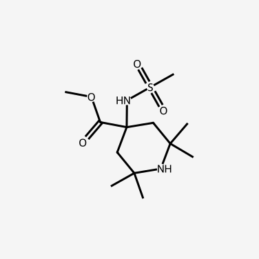 COC(=O)C1(NS(C)(=O)=O)CC(C)(C)NC(C)(C)C1